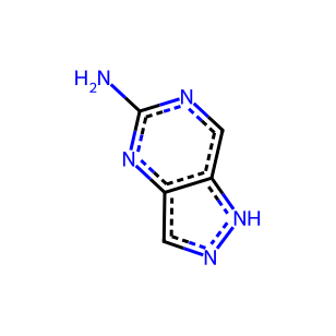 Nc1ncc2[nH]ncc2n1